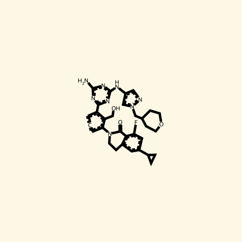 Nc1nc(Nc2cnn(CC3CCOCC3)c2)nc(-c2cccc(N3CCc4cc(C5CC5)cc(F)c4C3=O)c2CO)n1